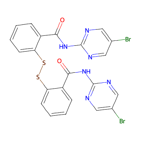 O=C(Nc1ncc(Br)cn1)c1ccccc1SSc1ccccc1C(=O)Nc1ncc(Br)cn1